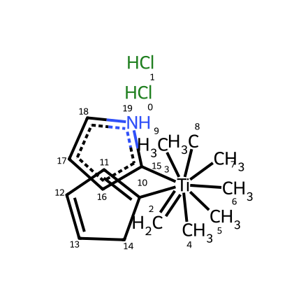 Cl.Cl.[CH2]=[Ti]([CH3])([CH3])([CH3])([CH3])([CH3])([CH3])([C]1=CC=CC1)[c]1ccc[nH]1